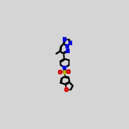 Cc1cc2ncnn2nc1C1=CCN(S(=O)(=O)c2ccc3c(c2)CCO3)CC1